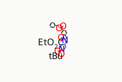 CCOC(=O)C(=O)N(Cc1ccc(C(=O)OCc2ccccc2)cc1)CC1CCN(C(=O)OC(C)(C)C)CC1